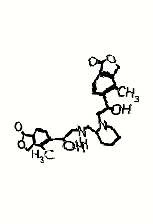 Cc1c([C@@H](O)CNCC2CCCCN2C[C@H](O)c2ccc3c(c2C)COC3=O)ccc2c1COC2=O